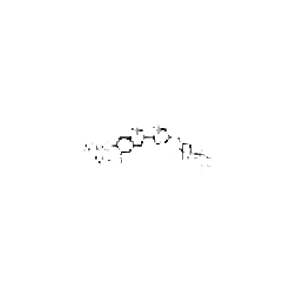 COc1cc2cc(-c3ccc(Cc4cc(C(C)(C)C(F)(F)F)nn4C)cn3)cnc2cc1OC